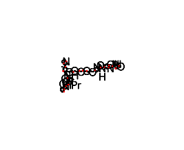 Cc1ncsc1-c1ccc(CNC(=O)[C@@H]2CCCN2C(=O)[C@H](C(C)C)N2Cc3ccccc3C2=O)c(OCCOCCOCCOCCOc2ccc(C(=O)Nc3ccc4oc(-c5ccc(=O)n(C)n5)nc4c3)nc2)c1